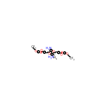 Cc1c(N)ccc(-c2ccc(N)cc2C(=O)C=Cc2ccc(C(=O)Oc3ccc(OCCCCC(F)(F)F)cc3)cc2)c1C(=O)C=Cc1ccc(C(=O)Oc2ccc(OCCCCC(F)(F)F)cc2)cc1